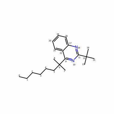 CCCCCCC(C)(C)c1nc(C(C)(C)C)nc2ccccc12